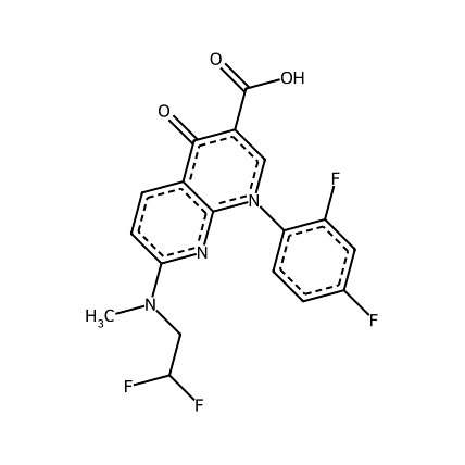 CN(CC(F)F)c1ccc2c(=O)c(C(=O)O)cn(-c3ccc(F)cc3F)c2n1